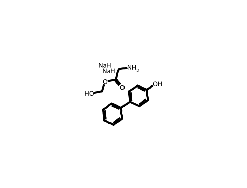 NCC(=O)OCO.Oc1ccc(-c2ccccc2)cc1.[NaH].[NaH]